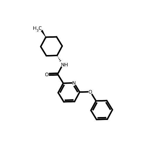 C[C@H]1CC[C@H](NC(=O)c2cccc(Oc3ccccc3)n2)CC1